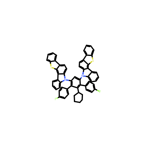 Fc1ccc(-c2c(-n3c4ccccc4c4c5sc6ccccc6c5ccc43)cc(-n3c4ccccc4c4c5sc6ccccc6c5ccc43)c(-c3ccc(F)cc3)c2C2CCCCC2)cc1